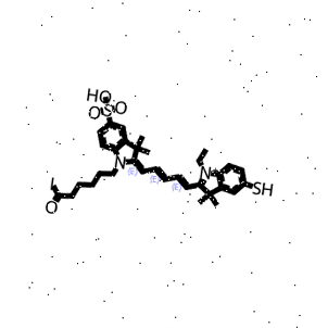 CC[N+]1=C(/C=C/C=C/C=C2/N(CCCCCC(=O)I)c3ccc(S(=O)(=O)O)cc3C2(C)C)C(C)(C)c2cc(S)ccc21